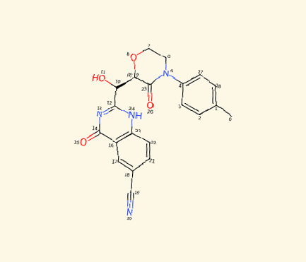 Cc1ccc(N2CCO[C@H](C(O)c3nc(=O)c4cc(C#N)ccc4[nH]3)C2=O)cc1